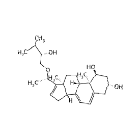 CC(C)[C@H](O)CO[C@@H](C)C1=CC[C@H]2C3=CC=C4C[C@@H](O)C[C@H](O)[C@]4(C)[C@H]3CC[C@]12C